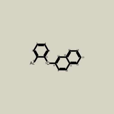 CC(=O)c1ccccc1Oc1ccc2ccccc2c1